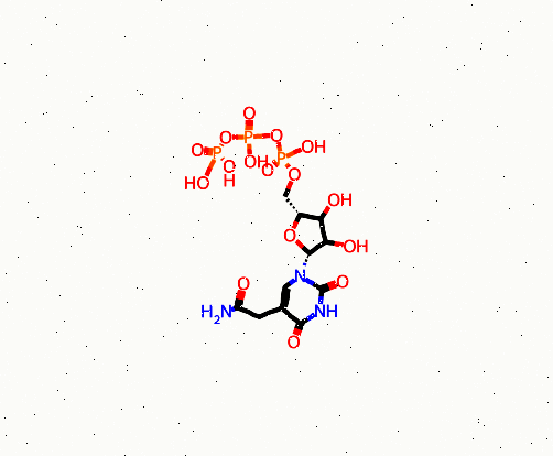 NC(=O)Cc1cn([C@@H]2O[C@H](COP(=O)(O)OP(=O)(O)OP(=O)(O)O)C(O)C2O)c(=O)[nH]c1=O